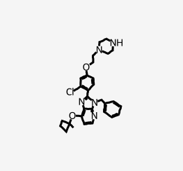 CC1(Oc2ccnc3c2nc(-c2ccc(OCCN4CCNCC4)cc2Cl)n3Cc2ccccc2)CCC1